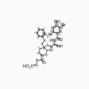 N=C(NCC1(CCc2ccccc2)CCN(C(=O)CCC(=O)O)CC1)NC(=O)c1nc(Br)c(N)nc1N